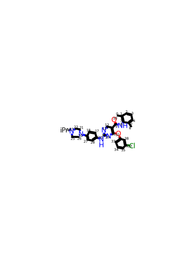 Cc1cccc(C)c1NC(=O)c1cnc(Nc2ccc(N3CCN(C(C)C)CC3)cc2)nc1Oc1cccc(Cl)c1